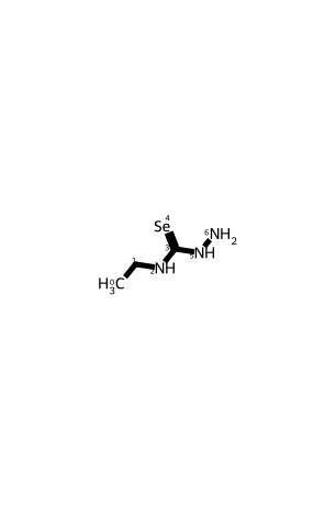 CCNC(=[Se])NN